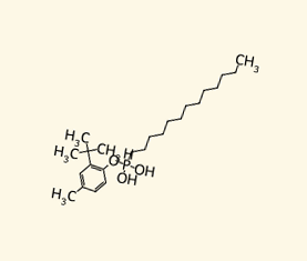 CCCCCCCCCCCCC[PH](O)(O)Oc1ccc(C)cc1C(C)(C)C